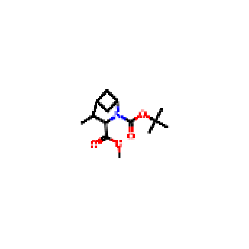 COC(=O)C1C(C)C2CC(C2)N1C(=O)OC(C)(C)C